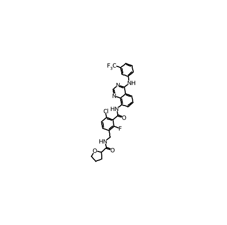 O=C(Nc1cccc2c(Nc3cccc(C(F)(F)F)c3)ncnc12)c1c(Cl)ccc(CNC(=O)C2CCCO2)c1F